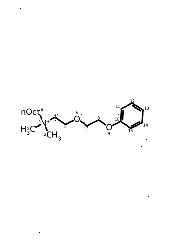 CCCCCCCC[N+](C)(C)CCOCCOc1ccccc1